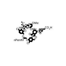 CCCCCOC(=O)COc1cc(N2C(=O)C3=C(CCCC3)C2=O)c(F)cc1Cl.COc1cc(OC)n2nc(S(=O)(=O)Nc3c(Cl)ccc(C)c3Cl)nc2n1.C[S+](C)C.O=C(O)CNCP(=O)([O-])O